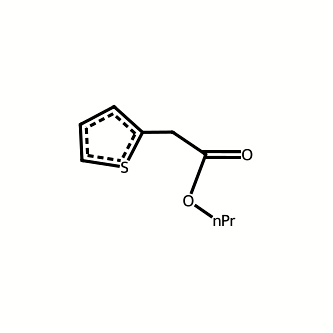 CCCOC(=O)Cc1cccs1